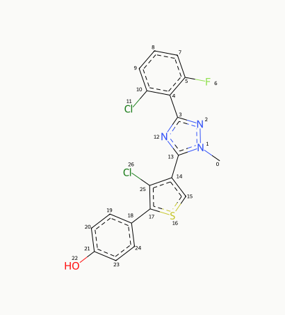 Cn1nc(-c2c(F)cccc2Cl)nc1-c1csc(-c2ccc(O)cc2)c1Cl